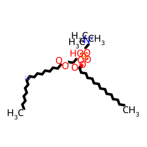 CCCCCCCC/C=C\CCCCCCCC(=O)OCC(COP(=O)(O)OCC[N+](C)(C)C)OC(=O)CCCCCCCCCCCCCCC